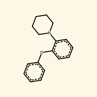 c1ccc(Oc2ccccc2N2CCCCC2)cc1